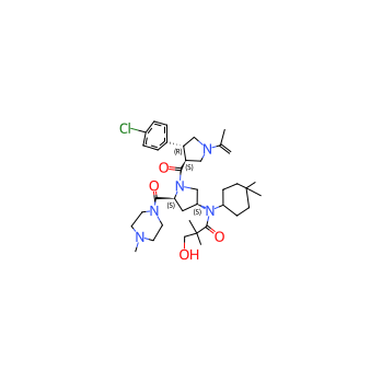 C=C(C)N1C[C@@H](C(=O)N2C[C@@H](N(C(=O)C(C)(C)CO)C3CCC(C)(C)CC3)C[C@H]2C(=O)N2CCN(C)CC2)[C@H](c2ccc(Cl)cc2)C1